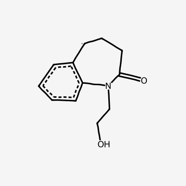 O=C1CC[CH]c2ccccc2N1CCO